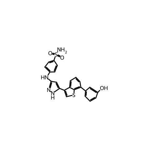 NS(=O)(=O)c1ccc(Nc2cc(-c3csc4c(-c5cccc(O)c5)cccc34)[nH]n2)cc1